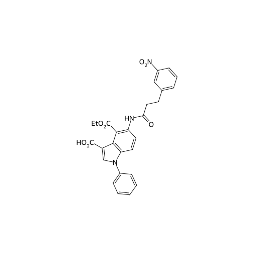 CCOC(=O)c1c(NC(=O)CCc2cccc([N+](=O)[O-])c2)ccc2c1c(C(=O)O)cn2-c1ccccc1